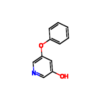 Oc1cncc(Oc2ccccc2)c1